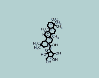 CC(=O)O[C@H]1CC[C@@]2(C)C(CC[C@]3(C)C2CC=C2C4CC(C)(C)CC[C@]4([C@H](O)[C@H]4OC5(O)C(CO)[C@@H](O)C(O)C45)CC[C@]23C)C1(C)C